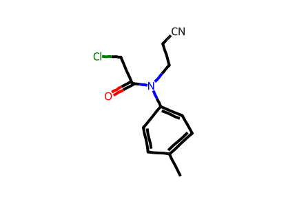 Cc1ccc(N(CCC#N)C(=O)CCl)cc1